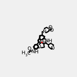 CC(=O)Nc1ccc(-c2cc3cc(CN4CCS(=O)(=O)CC4)cc(NC(C4CCOCC4)C4CCOCC4)c3[nH]2)cc1